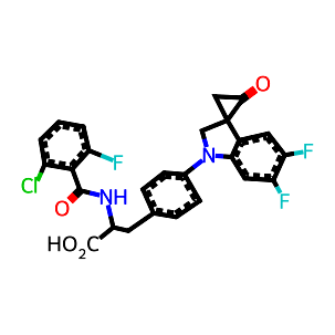 O=C(NC(Cc1ccc(N2CC3(CC3=O)c3cc(F)c(F)cc32)cc1)C(=O)O)c1c(F)cccc1Cl